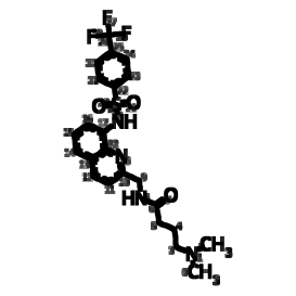 CN(C)CCCC(=O)NCc1ccc2cccc(NS(=O)(=O)c3ccc(C(F)(F)F)cc3)c2n1